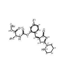 CC(C)[C@H](NC(=O)Oc1cc(F)ccc1/C=C1/SC(N2CCCCN2)=NC1=O)C(=O)OC(C)(C)C